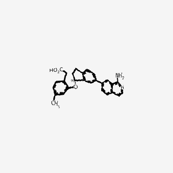 Cc1ccc(CC(=O)O)c(O[C@@H]2CCc3ccc(-c4ccc5ccnc(N)c5c4)cc32)c1